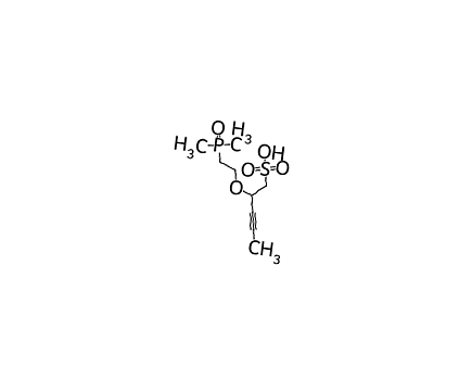 CC#CC(CS(=O)(=O)O)OCCP(C)(C)=O